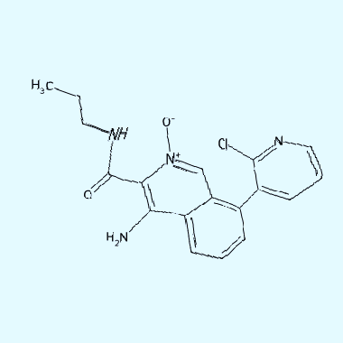 CCCNC(=O)c1c(N)c2cccc(-c3cccnc3Cl)c2c[n+]1[O-]